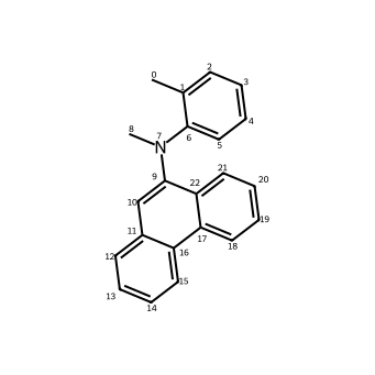 Cc1ccccc1N(C)c1cc2ccccc2c2ccccc12